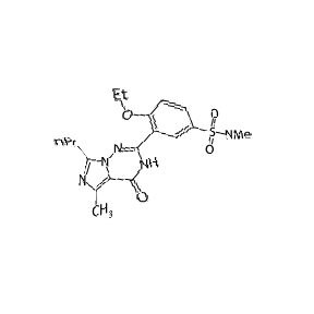 CCCc1nc(C)c2c(=O)[nH]c(-c3cc(S(=O)(=O)NC)ccc3OCC)nn12